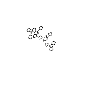 c1ccc(-c2nc(-c3ccc(-c4cccc5c4nc(-c4ccccc4)c4ccc6c7ccccc7n(-c7ccccc7)c6c45)cc3)nc(-c3cccc(-n4c5ccccc5c5ccccc54)c3)n2)cc1